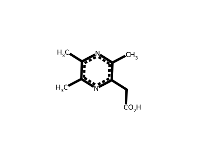 Cc1nc(C)c(CC(=O)O)nc1C